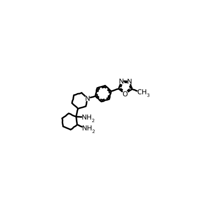 Cc1nnc(-c2ccc(N3CCCC(C4(N)CCCCC4N)C3)cc2)o1